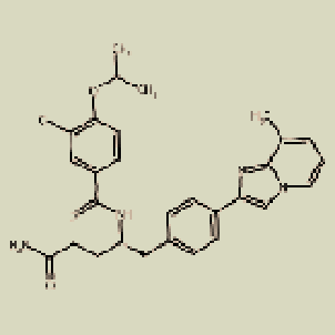 Cc1cccn2cc(-c3ccc(C[C@@H](CCC(N)=O)NC(=O)c4ccc(OC(C)C)c(Cl)c4)cc3)nc12